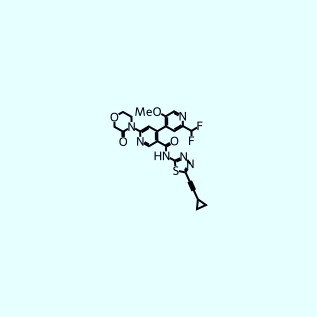 COc1cnc(C(F)F)cc1-c1cc(N2CCOCC2=O)ncc1C(=O)Nc1nnc(C#CC2CC2)s1